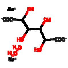 O.O.O=C([O-])C(O)C(O)C(O)C(O)C(=O)[O-].[Na+].[Na+]